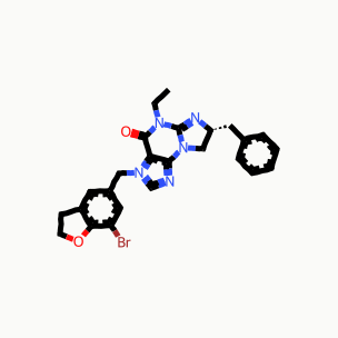 CCN1C(=O)c2c(ncn2Cc2cc(Br)c3c(c2)CCO3)N2C[C@@H](Cc3ccccc3)N=C12